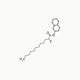 CCCCCCCCCCC(F)C(=O)Oc1ccc2ccccc2c1